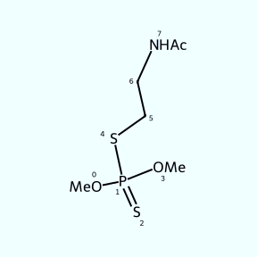 COP(=S)(OC)SCCNC(C)=O